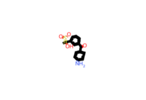 CC(O)(c1cccc(C(=O)c2ccc(N)cc2)c1)[SH](=O)=O